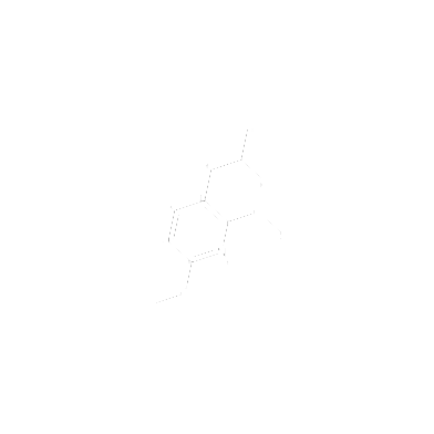 COc1ccc(CC(C)C)c(OC)n1